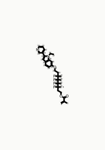 C=C(C)C(=O)OCCC(F)(F)C(F)(F)C(F)(F)C(F)(F)CCOc1ccc2cc(-c3cccnc3)n(CC)c2c1